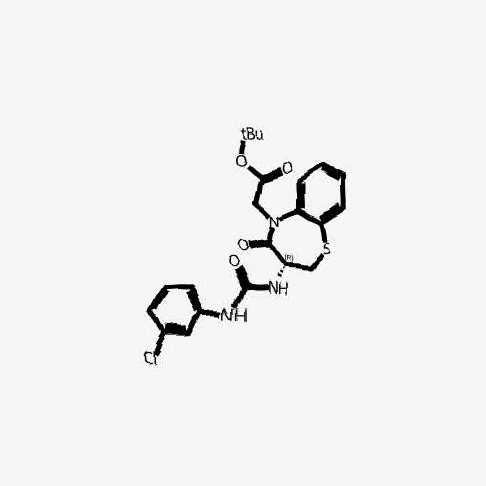 CC(C)(C)OC(=O)CN1C(=O)[C@@H](NC(=O)Nc2cccc(Cl)c2)CSc2ccccc21